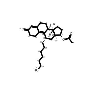 CC(=O)O[C@H]1CC[C@H]2[C@@H]3CCC4=CC(=O)CCC4=C3[C@@H](CCCCCCO)C[C@]12C